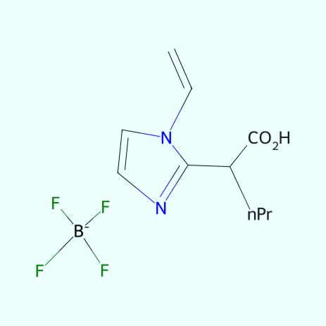 C=Cn1ccnc1C(CCC)C(=O)O.F[B-](F)(F)F